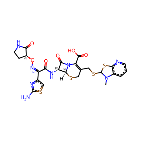 CN1c2cccnc2SC1SCC1=C(C(=O)O)N2C(=O)[C@@H](NC(=O)/C(=N\O[C@H]3CCNC3=O)c3csc(N)n3)[C@@H]2SC1